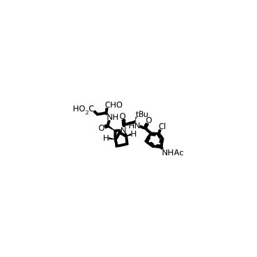 CC(=O)Nc1ccc(C(=O)N[C@H](C(=O)N2[C@@H]3CC[C@@H](C3)[C@H]2C(=O)NC(C=O)CC(=O)O)C(C)(C)C)c(Cl)c1